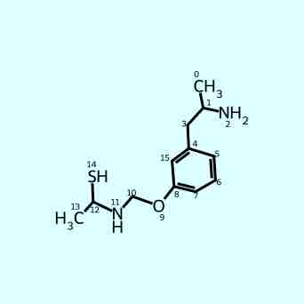 CC(N)Cc1cccc(OCNC(C)S)c1